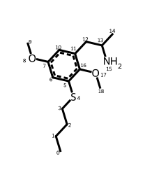 CCCCSc1cc(OC)cc(CC(C)N)c1OC